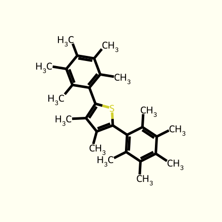 Cc1c(-c2c(C)c(C)c(C)c(C)c2C)sc(-c2c(C)c(C)c(C)c(C)c2C)c1C